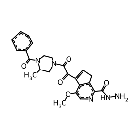 COc1cnc(C(=O)NN)c2c1C(C(=O)C(=O)N1CCN(C(=O)c3ccccc3)C(C)C1)=CC2